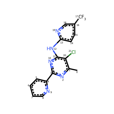 Cc1nc(-c2ccccn2)nc(Nc2ccc(C(F)(F)F)cn2)c1Cl